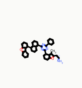 Cc1c(/C=C\N)oc2cccc(-c3nc(-c4ccccc4)nc(-c4cccc5c(-c6cccc7oc8ccccc8c67)cccc45)n3)c12